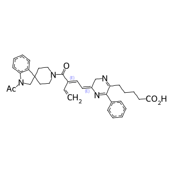 C=C/C(=C\C=C1/CN=C(CCCCC(=O)O)C(c2ccccc2)=N1)C(=O)N1CCC2(CC1)CN(C(C)=O)c1ccccc12